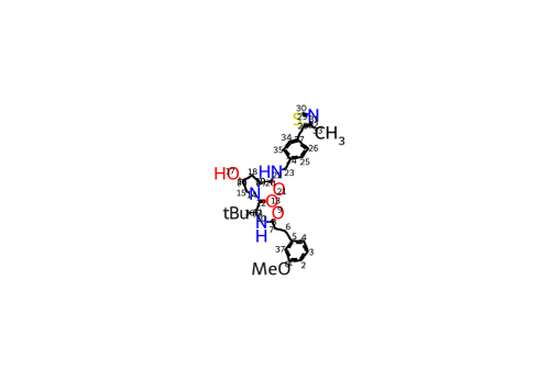 COc1cccc(CCC(=O)N[C@H](C(=O)N2C[C@H](O)C[C@H]2C(=O)NCc2ccc(-c3scnc3C)cc2)C(C)(C)C)c1